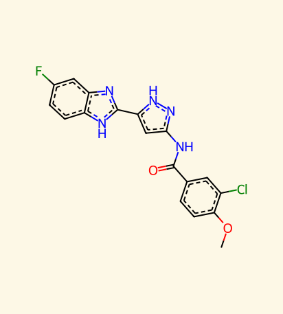 COc1ccc(C(=O)Nc2cc(-c3nc4cc(F)ccc4[nH]3)[nH]n2)cc1Cl